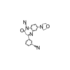 N#Cc1cccc(C2=Nc3cc(N4CCOCC4)ccc3N(C#N)C(=O)C2)c1